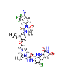 CCc1cc(N2C(=S)N(c3ccc(C#N)c(C(F)(F)F)c3)C(=O)C23CCC3)ccc1OCCN1C=C(C)N(CC(=O)Nc2cc(Cl)cc(NC3CCC(=O)NC3=O)c2)CC1